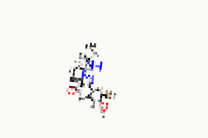 COc1ccc(-c2nn3c(NC4CCCC4)cccc3c2C(C)=O)cc1Br